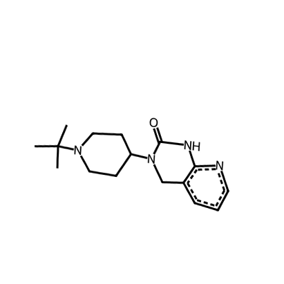 CC(C)(C)N1CCC(N2Cc3cccnc3NC2=O)CC1